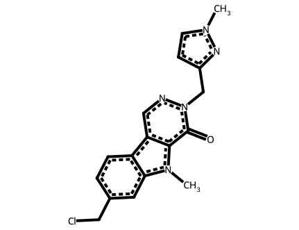 Cn1ccc(Cn2ncc3c4ccc(CCl)cc4n(C)c3c2=O)n1